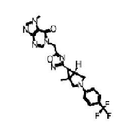 Cn1cnc2ncn(Cc3nc([C@H]4[C@@H]5CN(c6ccc(C(F)(F)F)cc6)CC54C)no3)c(=O)c21